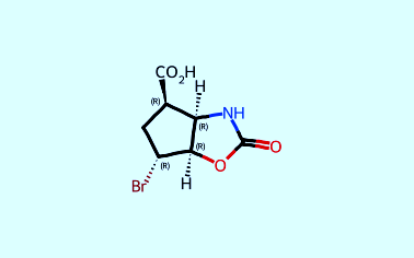 O=C1N[C@H]2[C@@H](O1)[C@H](Br)C[C@H]2C(=O)O